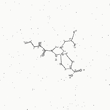 C=CCNC(=O)C1CN(CC(F)F)CC2(CCN(C(=O)O)CC2)O1